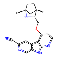 N#Cc1cc2c(cn1)[nH]c1nccc(OC[C@H]3N[C@@H]4CC[C@H]3C4)c12